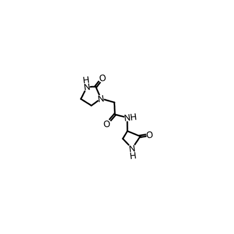 O=C(CN1CCNC1=O)NC1CNC1=O